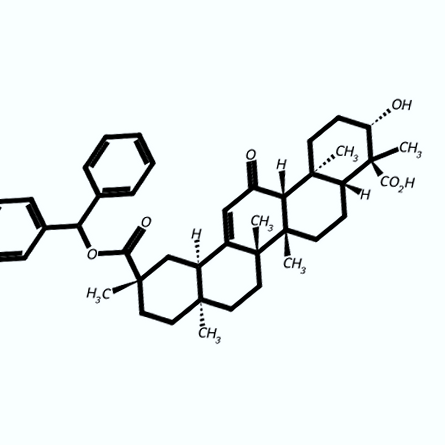 C[C@]1(C(=O)OC(c2ccccc2)c2ccccc2)CC[C@]2(C)CC[C@]3(C)C(=CC(=O)[C@@H]4[C@@]5(C)CC[C@H](O)[C@@](C)(C(=O)O)[C@@H]5CC[C@@]43C)[C@@H]2C1